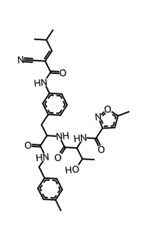 Cc1ccc(CNC(=O)C(Cc2cccc(NC(=O)C(C#N)=CC(C)C)c2)NC(=O)C(NC(=O)c2cc(C)on2)C(C)O)cc1